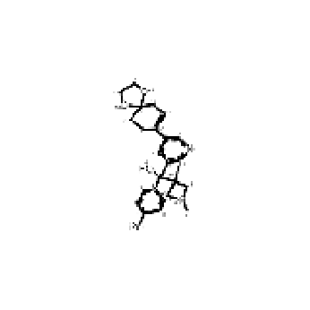 CC(C)c1ccc([C@](O)(c2cncc(C3=CCC4(CC3)OCCO4)c2)C2(C)CN(C)C2)cc1